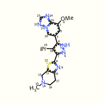 COc1cc(-c2[nH]nc(-c3nc4c(s3)CN(C)CC4)c2C(C)C)cn2ncnc12